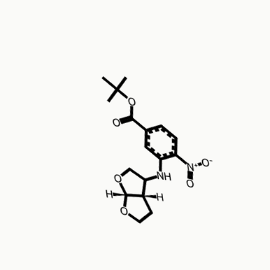 CC(C)(C)OC(=O)c1ccc([N+](=O)[O-])c(NC2CO[C@H]3OCC[C@@H]23)c1